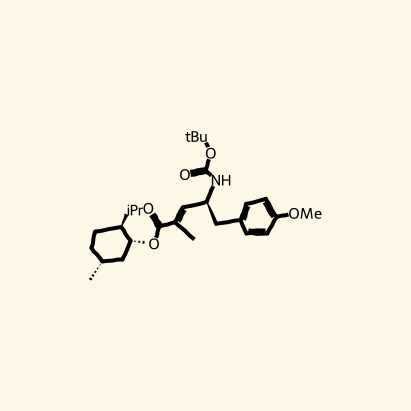 COc1ccc(C[C@@H](/C=C(\C)C(=O)O[C@@H]2C[C@H](C)CC[C@H]2C(C)C)NC(=O)OC(C)(C)C)cc1